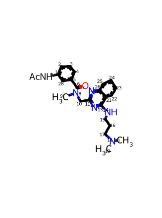 CC(=O)Nc1cccc(C(=O)N(C)Cc2nc(NCCCN(C)C)c3ccccc3n2)c1